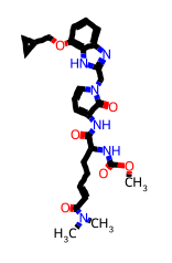 COC(=O)NC(CCC=CC(=O)N(C)C)C(=O)Nc1cccn(Cc2nc3cccc(OCC4CC4)c3[nH]2)c1=O